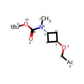 CC(=O)CO[C@H]1C[C@H](N(C)C(=O)OC(C)(C)C)C1